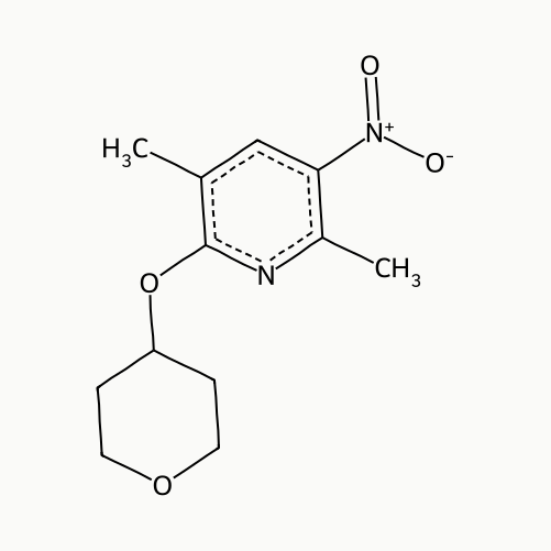 Cc1cc([N+](=O)[O-])c(C)nc1OC1CCOCC1